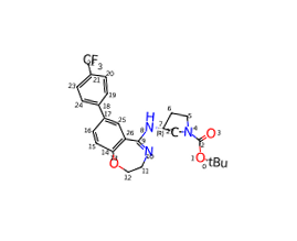 CC(C)(C)OC(=O)N1CC[C@@H](NC2=NCCOc3ccc(-c4ccc(C(F)(F)F)cc4)cc32)C1